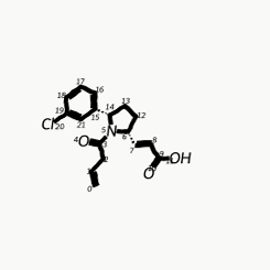 C=CCC(=O)N1[C@@H](/C=C/C(=O)O)CC[C@H]1c1cccc(Cl)c1